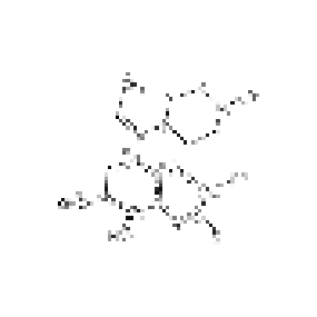 CC=C(N1CCN(C(C)C)CC1)n1cc(C=O)c(=N)c2cc(F)c(F)cc21